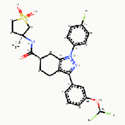 C[C@]1(NC(=O)[C@@H]2CCc3c(-c4cccc(OC(F)F)c4)nn(-c4ccc(F)cc4)c3C2)CCS(=O)(=O)C1